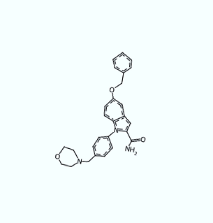 NC(=O)c1cc2cc(OCc3ccccc3)ccc2n1-c1ccc(CN2CCOCC2)cc1